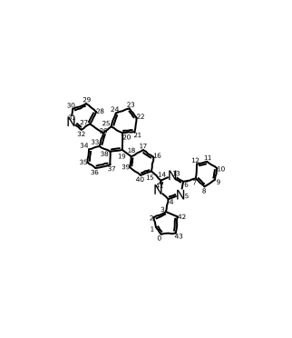 c1ccc(-c2nc(-c3ccccc3)nc(-c3ccc(-c4c5ccccc5c(-c5cccnc5)c5ccccc45)cc3)n2)cc1